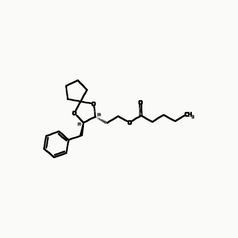 CCCCC(=O)OCC[C@H]1OC2(CCCC2)O[C@@H]1Cc1ccccc1